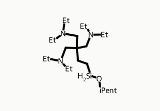 CCCC(C)O[SiH2]CCC(CN(CC)CC)(CN(CC)CC)CN(CC)CC